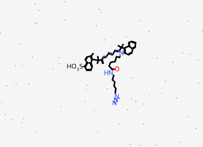 C=C(/C=C/C=C/C=C1\N(CCCCCC(=O)NCCCCCCN=[N+]=[N-])c2ccc3ccccc3c2C1(C)C)C(C)(C)c1c(C)ccc2c(S(=O)(=O)O)cccc12